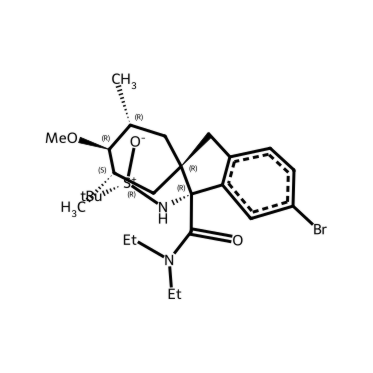 CCN(CC)C(=O)[C@]1(N[S@@+]([O-])C(C)(C)C)c2cc(Br)ccc2C[C@@]12C[C@@H](C)[C@H](OC)[C@@H](C)C2